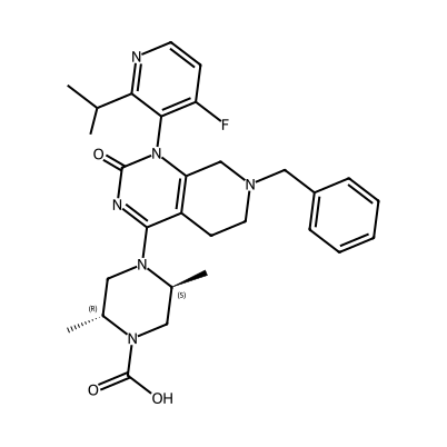 CC(C)c1nccc(F)c1-n1c2c(c(N3C[C@@H](C)N(C(=O)O)C[C@@H]3C)nc1=O)CCN(Cc1ccccc1)C2